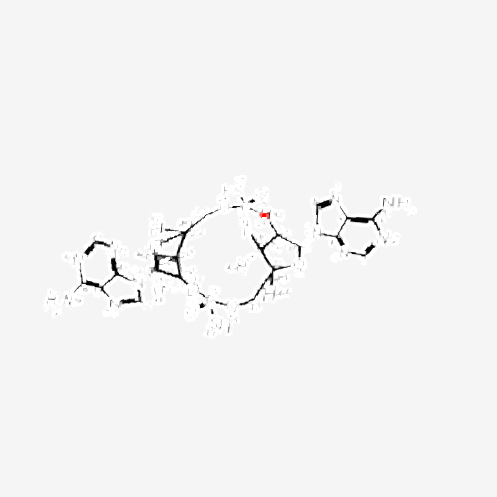 Nc1ncnc2c1ncn2[C@@H]1O[C@@H]2COP(=O)(S)O[C@@H]3[C@H](F)[C@@H](COP(=O)(S)O[C@@H]1[C@@H]2F)O[C@H]3n1cnc2c(N)ncnc21